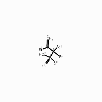 C=C(CC)C(O)(CC)P(=O)(O)O